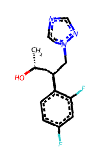 C[C@@H](O)C(Cn1cncn1)c1ccc(F)cc1F